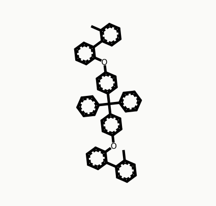 Cc1ccccc1-c1ccccc1Oc1ccc(C(c2ccccc2)(c2ccccc2)c2ccc(Oc3ccccc3-c3ccccc3C)cc2)cc1